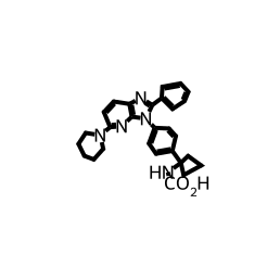 O=C(O)NC1(c2ccc(-n3c(-c4ccccc4)nc4ccc(N5CCCCC5)nc43)cc2)CCC1